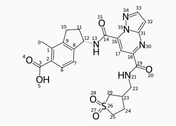 Cc1c(C(=O)O)ccc2c1CC[C@@H]2NC(=O)c1cc(C(=O)NCC2CCS(=O)(=O)C2)nc2ccnn12